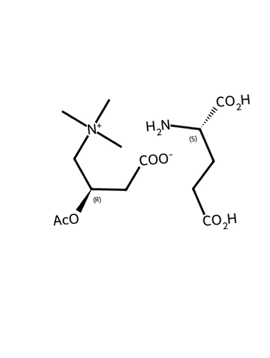 CC(=O)O[C@H](CC(=O)[O-])C[N+](C)(C)C.N[C@@H](CCC(=O)O)C(=O)O